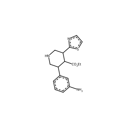 CCOC(=O)C1C(c2cccc(N)c2)CNCC1c1nccs1